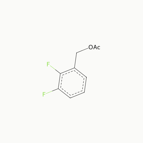 CC(=O)OCc1cccc(F)c1F